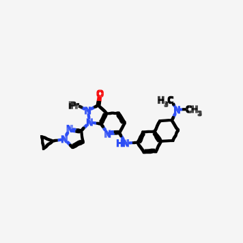 CC(C)n1c(=O)c2ccc(Nc3ccc4c(c3)CC(N(C)C)CC4)nc2n1-c1ccn(C2CC2)n1